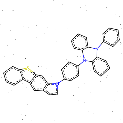 c1ccc(N2c3ccccc3N(c3ccc(-n4ccc5cc6c(cc54)sc4ccccc46)cc3)c3ccccc32)cc1